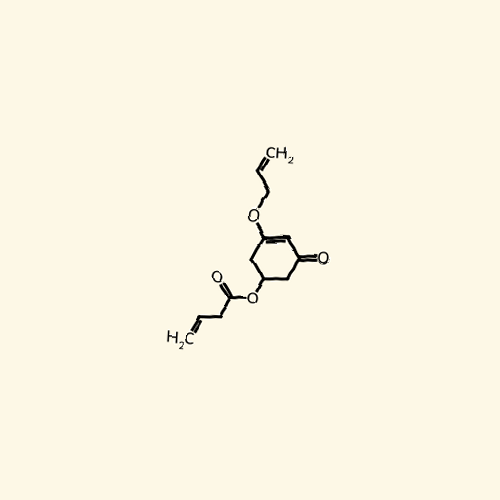 C=CCOC1=CC(=O)CC(OC(=O)CC=C)C1